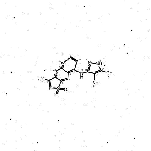 CC1=CS(=O)(=O)c2cc3c(Nc4n[nH]c(C)c4C)ccnc3cc21